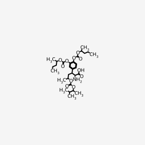 CCCC(C)OC(=O)Oc1ccc(C(CC(C)OC(=O)OC(C)C(C)C)[C@H](N)C(=O)O)cc1OC(=O)OC(C)CCC